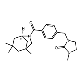 CN1CCN(Cc2ccc(C(=O)N3CC4(C)C[C@H]3CC(C)(C)C4)cc2)C1=O